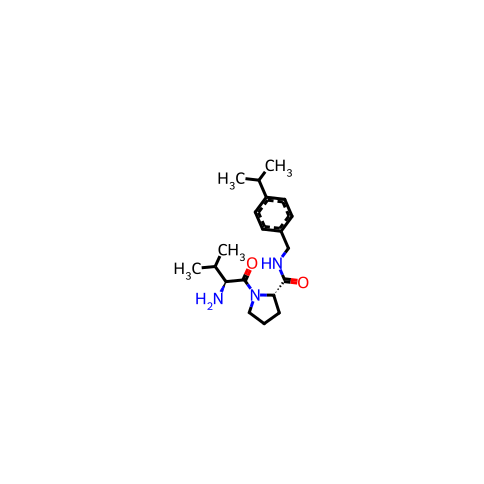 CC(C)c1ccc(CNC(=O)[C@@H]2CCCN2C(=O)[C@@H](N)C(C)C)cc1